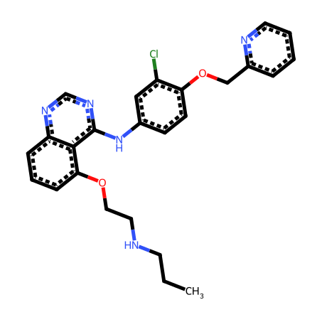 CCCNCCOc1cccc2ncnc(Nc3ccc(OCc4ccccn4)c(Cl)c3)c12